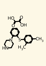 Cc1ccc(Sc2ccccc2N2CCNCC2)c(C)c1.O=C(O)C(=O)O